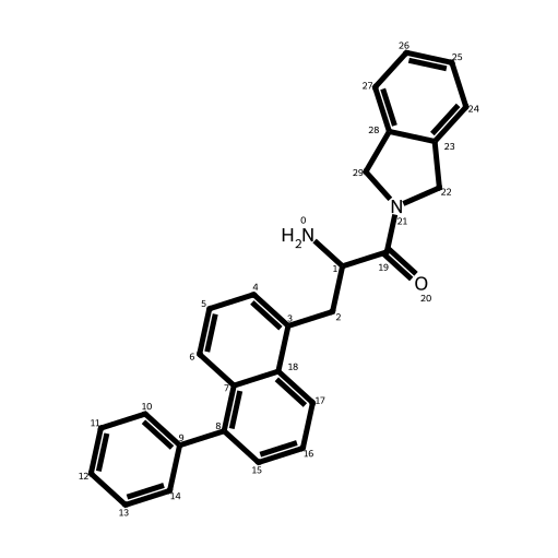 NC(Cc1cccc2c(-c3ccccc3)cccc12)C(=O)N1Cc2ccccc2C1